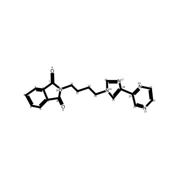 O=C1c2ccccc2C(=O)N1CCCCn1cnc(-c2cnccn2)c1